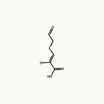 O=[C]CSC=C(Cl)C(=O)O